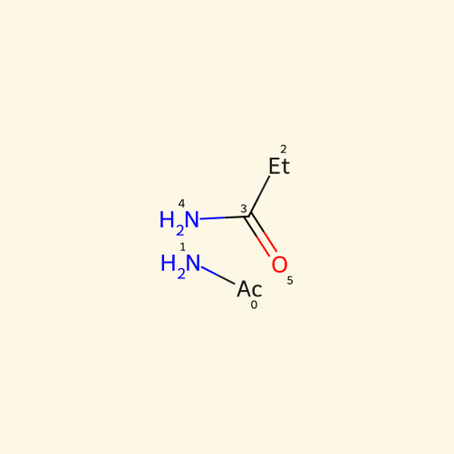 CC(N)=O.CCC(N)=O